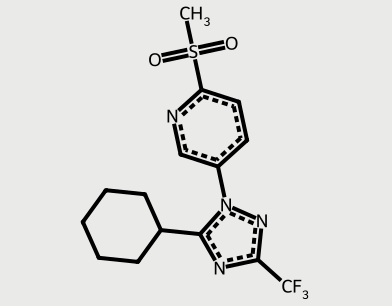 CS(=O)(=O)c1ccc(-n2nc(C(F)(F)F)nc2C2CCCCC2)cn1